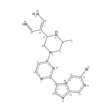 CC1CN(c2ccnc(-c3cnc4cnc(Br)cn34)n2)CC(/C(C=N)=C/N)N1